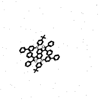 CC(C)(C)c1ccc(N(c2ccc(-c3ccccc3)cc2)c2cc3c(cc(N(c4ccc(-c5ccccc5)cc4)c4ccc(C(C)(C)C)cc4)c4oc(-c5ccccc5)c(-c5ccccc5)c43)c3c(-c4ccccc4)c(-c4ccccc4)oc23)cc1